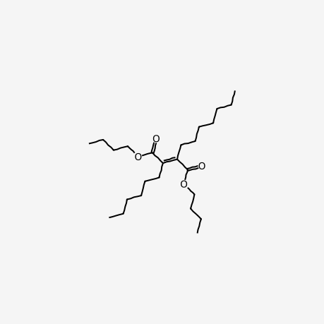 CCCCCCCC(C(=O)OCCCC)=C(CCCCCC)C(=O)OCCCC